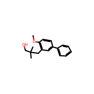 COc1ccc(-c2ccccc2)cc1CC(C)(C)CO